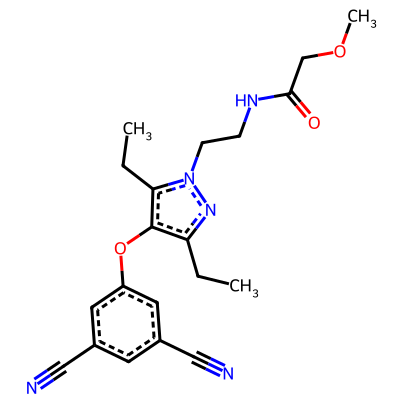 CCc1nn(CCNC(=O)COC)c(CC)c1Oc1cc(C#N)cc(C#N)c1